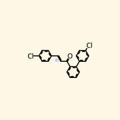 O=C(/C=C/c1ccc(Cl)cc1)c1ccccc1-c1ccc(Cl)cc1